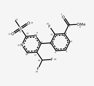 COC(=O)c1cccc(-c2nc(S(C)(=O)=O)ncc2C(F)F)c1F